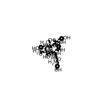 CC(C)C[C@H](NN[C@@H](Cc1ccc(O)cc1)C(=O)N[C@@H](CCC(N)=O)C(=O)C(=O)[C@H](CO)NC(=O)[C@H](Cc1c[nH]c2ccccc12)NC(=O)CNC(=O)[C@@H](N)Cc1ccc(O)cc1)C(=O)NCC(=O)C(=O)[C@H](Cc1ccc(O)cc1)NO